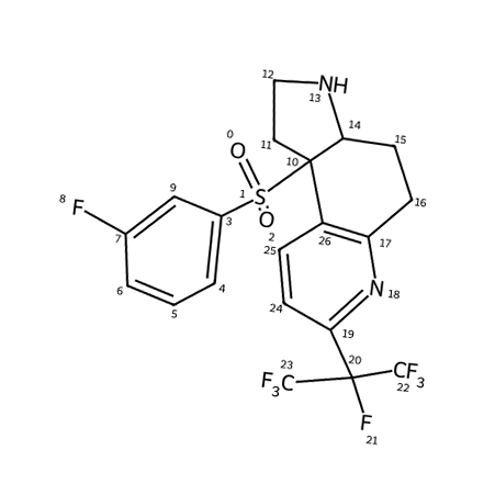 O=S(=O)(c1cccc(F)c1)C12CCNC1CCc1nc(C(F)(C(F)(F)F)C(F)(F)F)ccc12